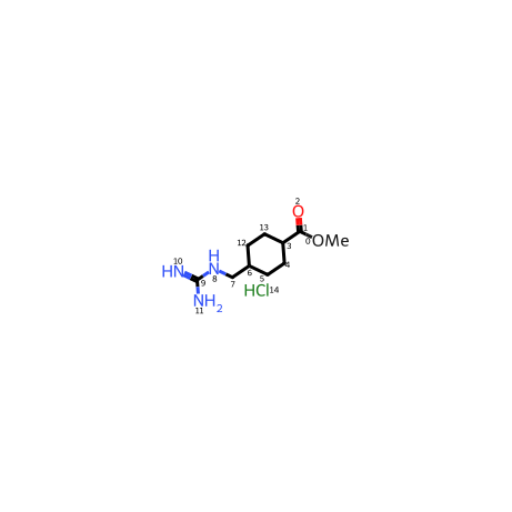 COC(=O)C1CCC(CNC(=N)N)CC1.Cl